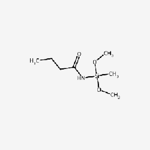 CCCC(=O)N[Si](C)(OC)OC